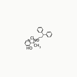 CC(c1ncccc1O)=[N+](Cl)OCCC(c1ccccc1)c1ccccc1